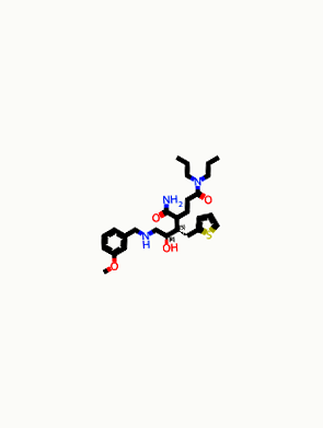 CCCN(CCC)C(=O)CCC(C(N)=O)[C@H](Cc1cccs1)[C@@H](O)CNCc1cccc(OC)c1